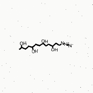 CC(O)CCC(O)CCC(O)CCC(O)CCN=[N+]=[N-]